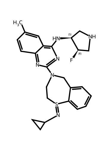 Cc1ccc2nc(N3CCS(=NC4CC4)c4ccccc4C3)nc(N[C@H]3CNC[C@H]3F)c2c1